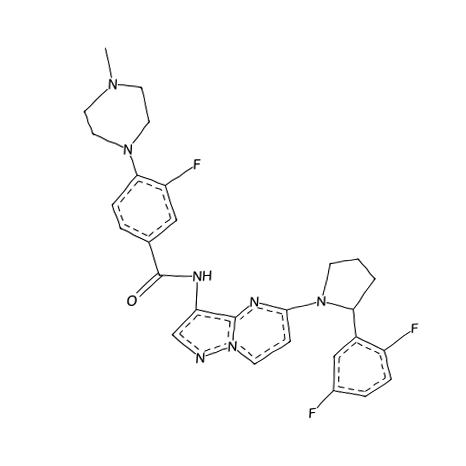 CN1CCN(c2ccc(C(=O)Nc3cnn4ccc(N5CCCC5c5cc(F)ccc5F)nc34)cc2F)CC1